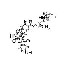 CN(CCNC(=O)c1cc2cc([C@]3(CN4Cc5ccc(O)cc5C4=O)NC(=O)NC3=O)oc2cc1F)CCNS(C)(=O)=O